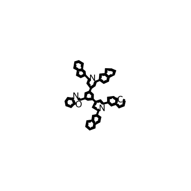 c1ccc2cc(-c3cc(-c4cc(-c5cc(-c6ccc7ccccc7c6)nc(-c6ccc7ccccc7c6)c5)cc(-c5nc6ccccc6o5)c4)cc(-c4ccc5ccccc5c4)n3)ccc2c1